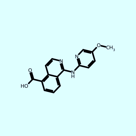 COc1ccc(Nc2nccc3c(C(=O)O)cccc23)nc1